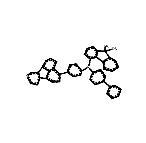 CC1(C)c2ccccc2-c2c(N(c3ccc(-c4ccccc4)cc3)c3ccc(-c4ccc5c6c(cccc46)-c4cnccc4-5)cc3)cccc21